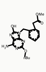 CCCCOc1nc(N)c2nc(O)n(Cc3ccccc3CC(=O)OC)c2n1